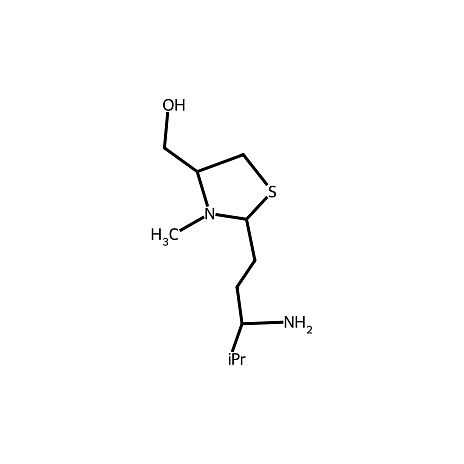 CC(C)C(N)CCC1SCC(CO)N1C